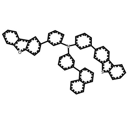 c1cc(-c2ccc3c(c2)sc2ccccc23)cc(N(c2cccc(-c3ccc4oc5ccccc5c4c3)c2)c2cccc(-c3cccc4ccccc34)c2)c1